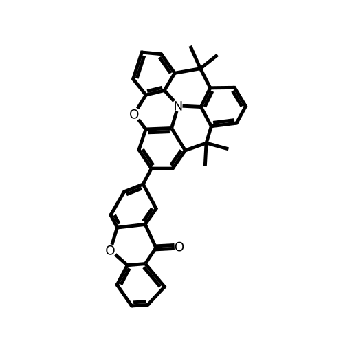 CC1(C)c2cccc3c2N2c4c(cc(-c5ccc6oc7ccccc7c(=O)c6c5)cc4C(C)(C)c4cccc1c42)O3